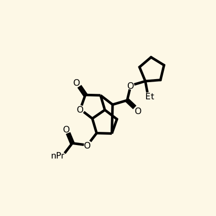 [CH2]CCC(=O)OC1C2CC3C1OC(=O)C3C2C(=O)OC1(CC)CCCC1